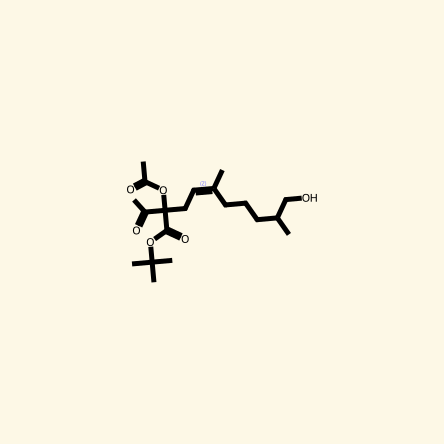 CC(=O)OC(C/C=C(/C)CCCC(C)CO)(C(C)=O)C(=O)OC(C)(C)C